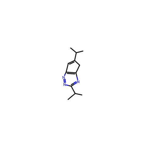 CC(C)C1=Cc2nnc(C(C)C)nc2C1